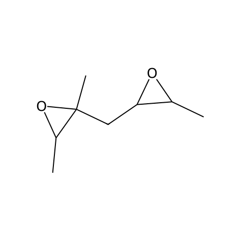 CC1OC1CC1(C)OC1C